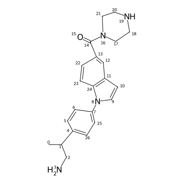 CC(CN)c1ccc(-n2ccc3cc(C(=O)N4CCNCC4)ccc32)cc1